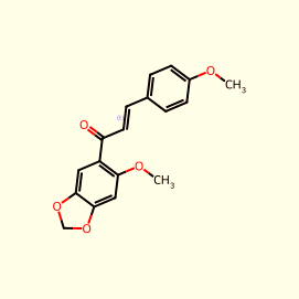 COc1ccc(/C=C/C(=O)c2cc3c(cc2OC)OCO3)cc1